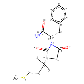 CC(=O)SCCC(C)(C)[C@H]1CC(=O)N([C@@H](Cc2ccccc2)C(N)=O)C1=O